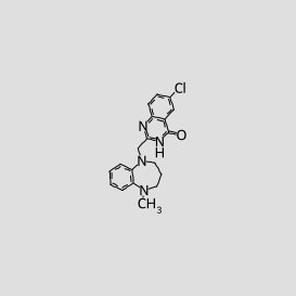 CN1CCCN(Cc2nc3ccc(Cl)cc3c(=O)[nH]2)c2ccccc21